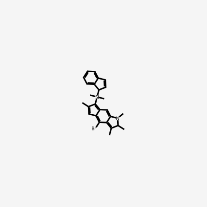 CC1=Cc2c(Br)c3c(cc2=C1[Si](C)(C)C1C=Cc2ccccc21)N(C)C(C)C=3C